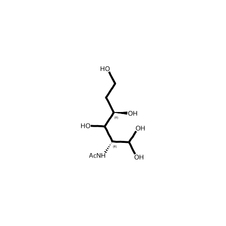 CC(=O)N[C@@H](C(O)O)C(O)[C@H](O)CCO